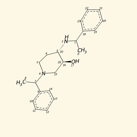 CC(N[C@H]1CCN(C(C)c2ccccc2)C[C@@H]1O)c1ccccc1